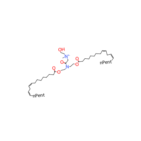 CCCCC/C=C\C/C=C\CCCCCCCC(=O)OCCN(CCOC(=O)CCCCCCC/C=C\C/C=C\CCCCC)C(=O)C[N+](C)(C)CCO